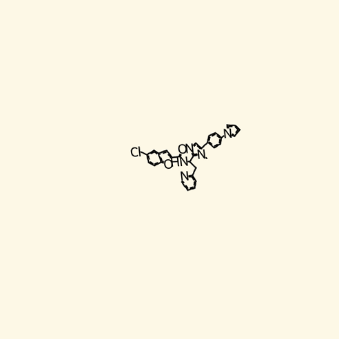 Cn1c(-c2ccc(-n3cccc3)cc2)cnc1C(Cc1ccccn1)NC(=O)c1cc2cc(Cl)ccc2o1